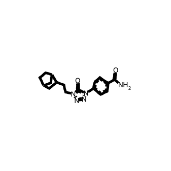 NC(=O)c1ccc(-n2nnn(CCC3CC4CCC3C4)c2=O)cc1